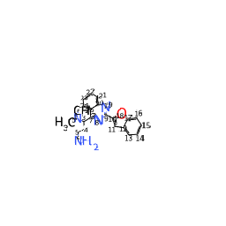 CN(C)C(CCN)c1nc(-c2cc3ccccc3o2)nc2ccccc12